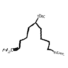 C=CCCCC(CCCCCCCCCC)CCCCCCCCCCCCCC